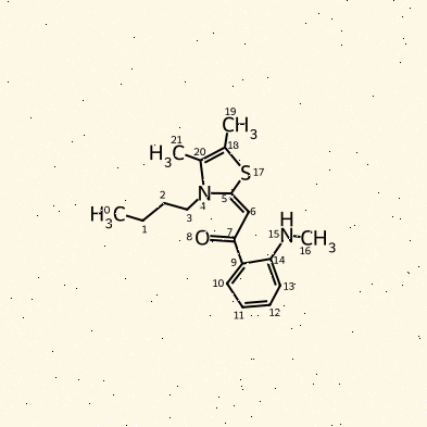 CCCCN1C(=CC(=O)c2ccccc2NC)SC(C)=C1C